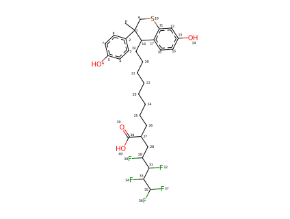 CC1(c2ccc(O)cc2)CSc2cc(O)ccc2C1CCCCCCCCC(CC(F)C(F)C(F)C(F)F)C(=O)O